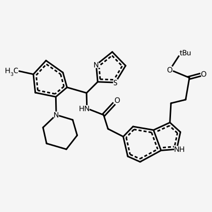 Cc1ccc(C(NC(=O)Cc2ccc3[nH]cc(CCC(=O)OC(C)(C)C)c3c2)c2nccs2)c(N2CCCCC2)c1